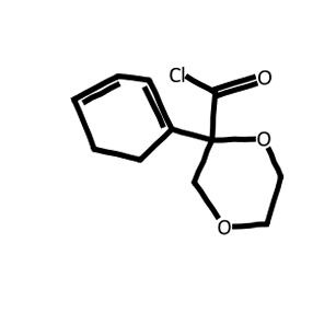 O=C(Cl)C1(C2=CC=CCC2)COCCO1